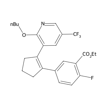 CCCCOc1ncc(C(F)(F)F)cc1C1=C(c2ccc(F)c(C(=O)OCC)c2)CCC1